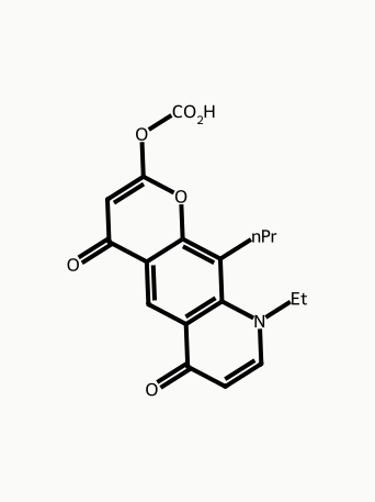 CCCc1c2oc(OC(=O)O)cc(=O)c2cc2c(=O)ccn(CC)c12